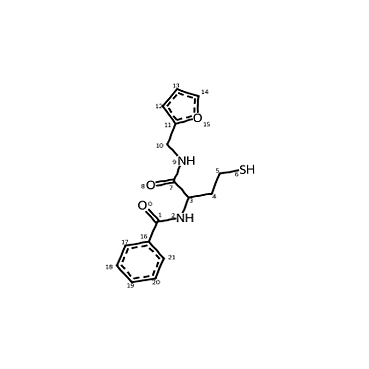 O=C(NC(CCS)C(=O)NCc1ccco1)c1ccccc1